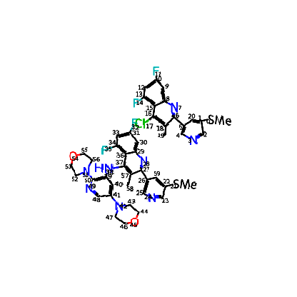 CSc1cncc(-c2nc3cc(F)cc(F)c3c(Cl)c2C)c1.CSc1cncc(-c2nc3cc(F)cc(F)c3c(Nc3cc(N4CCOCC4)cnc3N3CCOCC3)c2C)c1